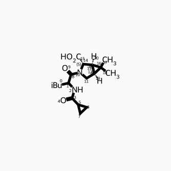 CCC(C)C(NC(=O)C1CC1)C(=O)N1C[C@H]2[C@@H]([C@H]1C(=O)O)C2(C)C